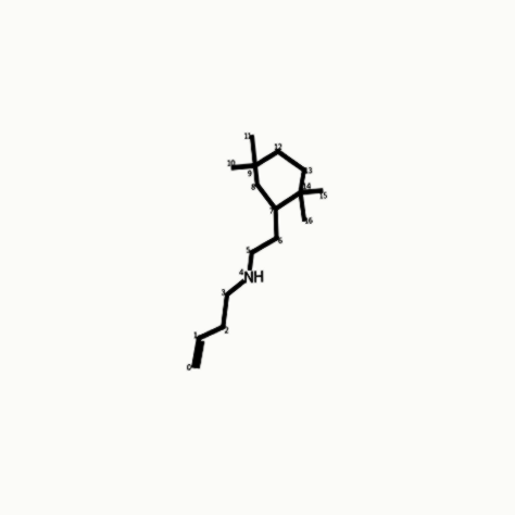 C=CCCNCCC1CC(C)(C)CCC1(C)C